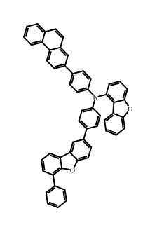 c1ccc(-c2cccc3c2oc2ccc(-c4ccc(N(c5ccc(-c6ccc7c(ccc8ccccc87)c6)cc5)c5cccc6oc7ccccc7c56)cc4)cc23)cc1